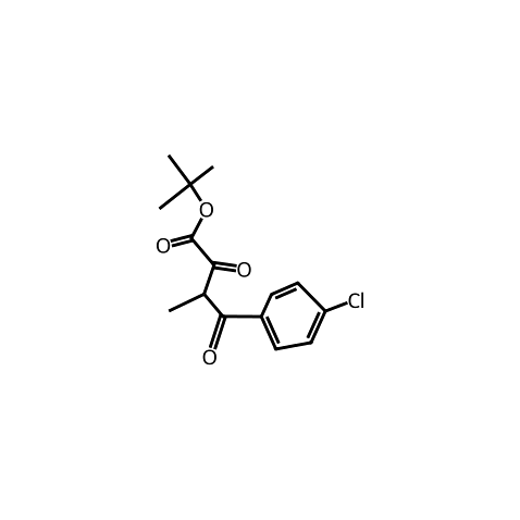 CC(C(=O)C(=O)OC(C)(C)C)C(=O)c1ccc(Cl)cc1